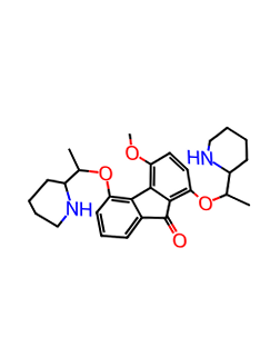 COc1ccc(OC(C)C2CCCCN2)c2c1-c1c(OC(C)C3CCCCN3)cccc1C2=O